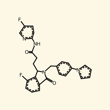 O=C(CCC1c2c(F)cccc2C(=O)N1Cc1ccc(-n2cccc2)cc1)Nc1ccc(F)cn1